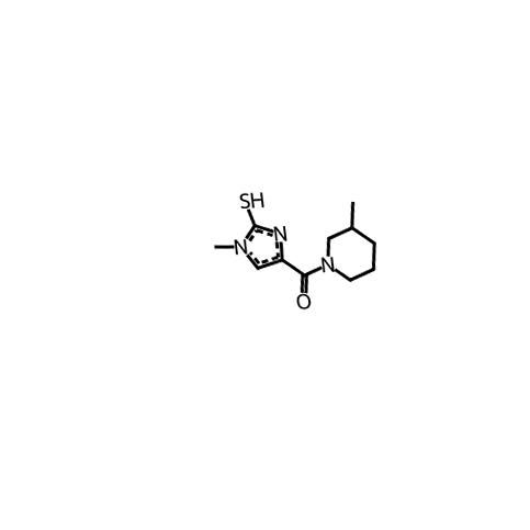 CC1CCCN(C(=O)c2cn(C)c(S)n2)C1